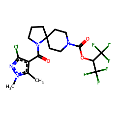 Cc1c(C(=O)N2CCCC23CCN(C(=O)OC(C(F)(F)F)C(F)(F)F)CC3)c(Cl)nn1C